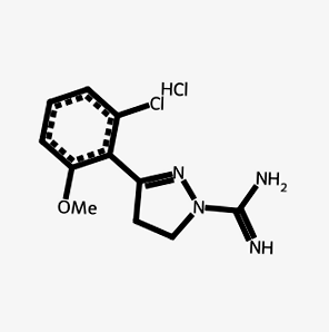 COc1cccc(Cl)c1C1=NN(C(=N)N)CC1.Cl